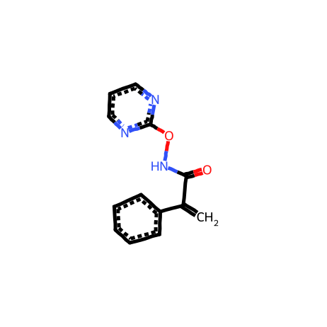 C=C(C(=O)NOc1ncccn1)c1ccccc1